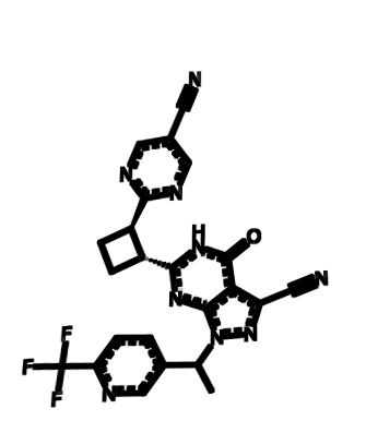 CC(c1ccc(C(F)(F)F)nc1)n1nc(C#N)c2c(=O)[nH]c([C@@H]3CC[C@H]3c3ncc(C#N)cn3)nc21